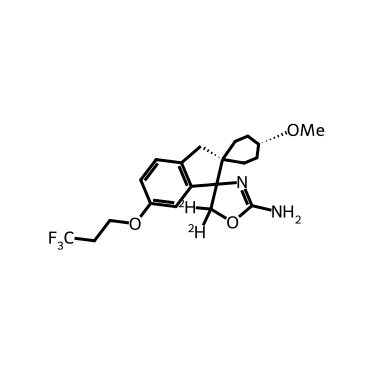 [2H]C1([2H])OC(N)=NC12c1cc(OCCC(F)(F)F)ccc1C[C@]21CC[C@@H](OC)CC1